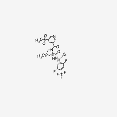 C[C@@H]1C[C@H](C(=O)N[C@@H](c2cc(F)c(C(F)(F)F)cc2F)C2CC2)N(C(=O)c2cncc(S(C)(=O)=O)c2)C1